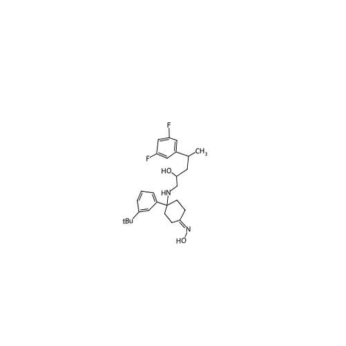 CC(CC(O)CNC1(c2cccc(C(C)(C)C)c2)CCC(=NO)CC1)c1cc(F)cc(F)c1